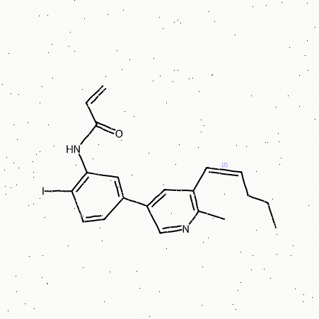 C=CC(=O)Nc1cc(-c2cnc(C)c(/C=C\CCC)c2)ccc1I